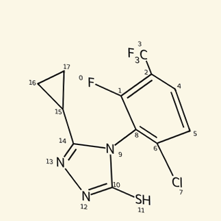 Fc1c(C(F)(F)F)ccc(Cl)c1-n1c(S)nnc1C1CC1